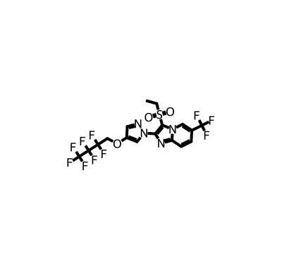 CCS(=O)(=O)c1c(-n2cc(OCC(F)(F)C(F)(F)C(F)(F)F)cn2)nc2ccc(C(F)(F)F)cn12